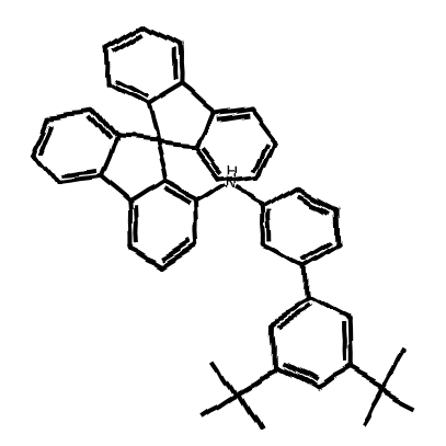 CC(C)(C)c1cc(-c2cccc(Nc3cccc4c3C3(c5ccccc5-c5ccccc53)c3ccccc3-4)c2)cc(C(C)(C)C)c1